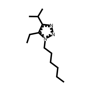 CCCCCCn1nnc(C(C)C)c1CC